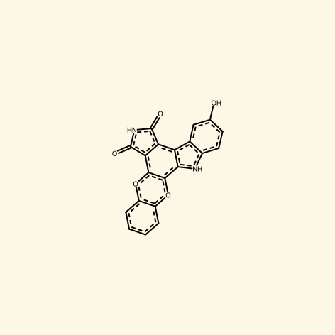 O=c1[nH]c(=O)c2c1c1oc3ccccc3oc1c1[nH]c3ccc(O)cc3c12